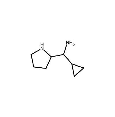 NC(C1CC1)C1CCCN1